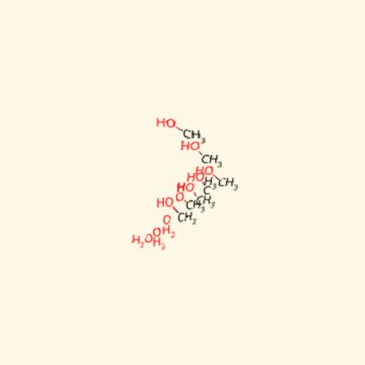 CO.CO.CO.CO.CO.CO.CO.O.O.O